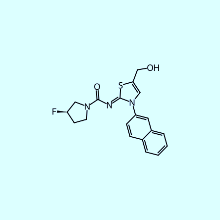 O=C(N=c1sc(CO)cn1-c1ccc2ccccc2c1)N1CC[C@@H](F)C1